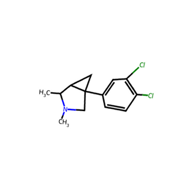 CC1C2CC2(c2ccc(Cl)c(Cl)c2)CN1C